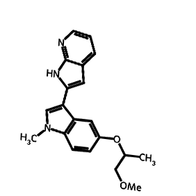 COCC(C)Oc1ccc2c(c1)c(-c1cc3cccnc3[nH]1)cn2C